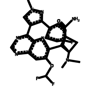 CN(C)C12CC(C(N)=O)(C1)C2c1nc2c(-c3cn(C)nc3-c3ccc(F)cc3)ncnc2cc1OC(F)F